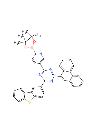 CC1(C)OB(c2ccc(-c3nc(-c4ccc5sc6ccccc6c5c4)nc(-c4cc5ccccc5c5ccccc45)n3)cn2)OC1(C)C